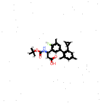 Cc1cc(C)c(-c2cc(C)c(F)c(C(CC(=O)O)NC(=O)OC(C)(C)C)c2)c(C2CC2)c1